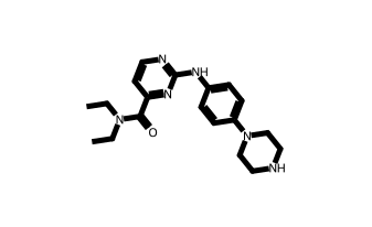 CCN(CC)C(=O)c1ccnc(Nc2ccc(N3CCNCC3)cc2)n1